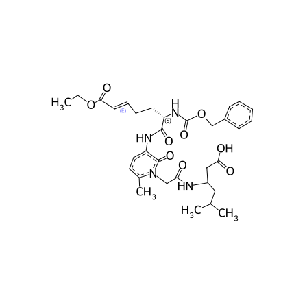 CCOC(=O)/C=C/CC[C@H](NC(=O)OCc1ccccc1)C(=O)Nc1ccc(C)n(CC(=O)NC(CC(=O)O)CC(C)C)c1=O